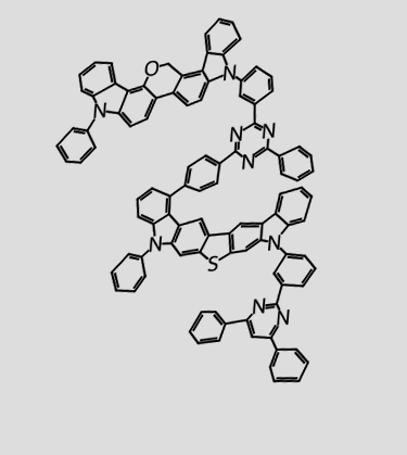 c1ccc(-c2cc(-c3ccccc3)nc(-c3cccc(-n4c5ccccc5c5cc6c(cc54)sc4cc5c(cc46)c4c(-c6ccc(-c7nc(-c8ccccc8)nc(-c8cccc(-n9c%10ccccc%10c%10c%11c(ccc%109)-c9ccc%10c(c9OC%11)c9ccccc9n%10-c9ccccc9)c8)n7)cc6)cccc4n5-c4ccccc4)c3)n2)cc1